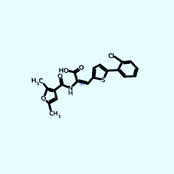 Cc1cc(C(=O)N/C(=C/c2ccc(-c3ccccc3Cl)s2)C(=O)O)c(C)o1